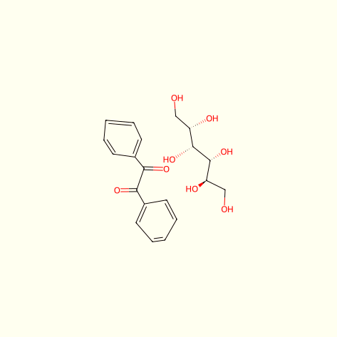 O=C(C(=O)c1ccccc1)c1ccccc1.OC[C@@H](O)[C@@H](O)[C@H](O)[C@@H](O)CO